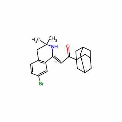 CC1(C)Cc2ccc(Br)cc2/C(=C/C(=O)C23CC4CC(CC(C4)C2)C3)N1